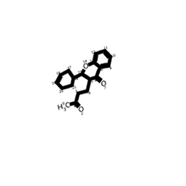 CC(=O)CCC1C(=O)c2ccccc2OC1C1CC=CCC1